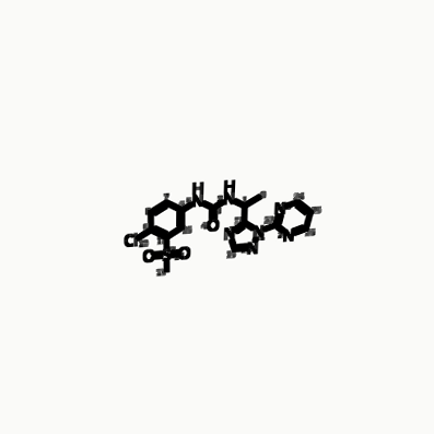 CC(NC(=O)Nc1ccc(Cl)c(S(C)(=O)=O)c1)c1ncnn1-c1ncccn1